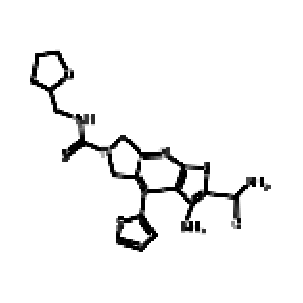 NC(=O)c1sc2nc3c(c(-c4cccs4)c2c1N)CN(C(=S)NCC1CCCO1)C3